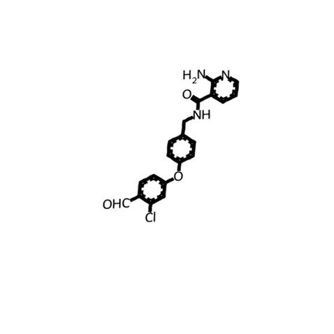 Nc1ncccc1C(=O)NCc1ccc(Oc2ccc(C=O)c(Cl)c2)cc1